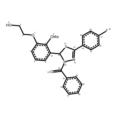 COc1c(OCCO)cccc1C1SC(c2ccc(F)cc2)=NN1C(=O)c1ccccc1